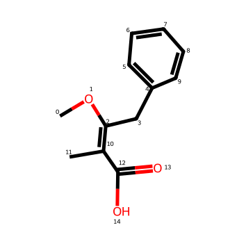 CO/C(Cc1ccccc1)=C(\C)C(=O)O